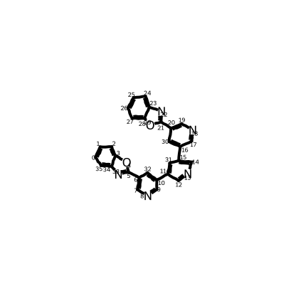 c1ccc2oc(-c3cncc(-c4cncc(-c5cncc(-c6nc7ccccc7o6)c5)c4)c3)nc2c1